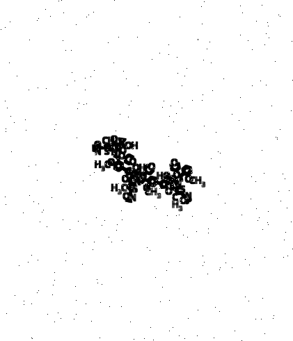 COc1ccc(C2CC(C(=O)O)(c3nn(CC(OC4CCOCC4)c4ccc(C5CCC(C(=O)O)(c6nn(CC(OC7CCOCC7)c7ccccc7OC)c7sc(-c8ncco8)c(C)c7c6=O)C5)cc4OC)c4sc(-c5ncco5)c(C)c4c3=O)C2)cc1C(Cn1nc(C2(C(=O)O)CC2)c(=O)c2c(C)c(-c3ncco3)sc21)OC1CCOCC1